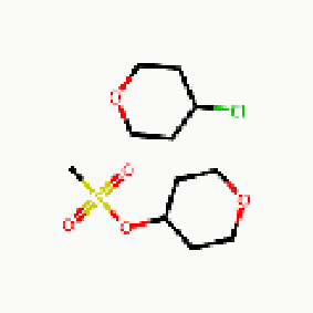 CS(=O)(=O)OC1CCOCC1.ClC1CCOCC1